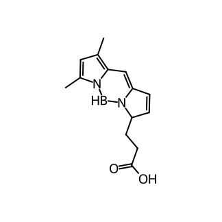 Cc1cc(C)n2c1C=C1C=CC(CCC(=O)O)N1B2